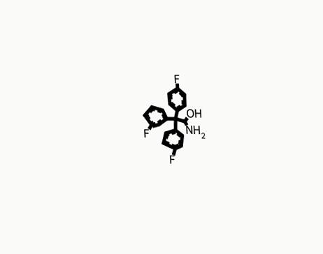 NC(O)C(c1ccc(F)cc1)(c1ccc(F)cc1)c1cccc(F)c1